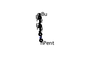 CCCCCC1CCC(/C=C/C2CCC(CC(F)COc3ccc(CC(F)COc4ccc(OCCCC)c(F)c4F)c(F)c3F)CC2)CC1